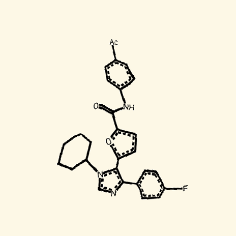 CC(=O)c1ccc(NC(=O)c2ccc(-c3c(-c4ccc(F)cc4)ncn3C3CCCCC3)o2)cc1